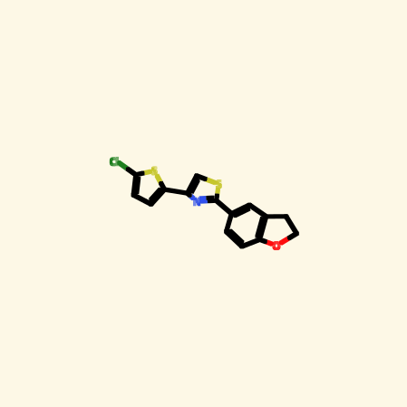 Clc1ccc(-c2csc(-c3ccc4c(c3)CCO4)n2)s1